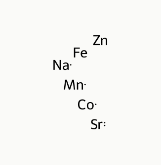 [Co].[Fe].[Mn].[Na].[Sr].[Zn]